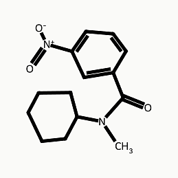 CN(C(=O)c1cccc([N+](=O)[O-])c1)C1CCCCC1